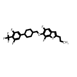 CCCc1cc2cc(F)c(OCC3CCC(c4cc(F)c(C(F)(F)F)c(F)c4)CC3)c(F)c2s1